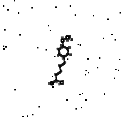 O=C(Cl)/C=C/C=C/c1ccc(OC(F)(F)F)cc1